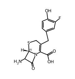 NC1C(=O)N2C(C(=O)O)=C(Cc3ccc(O)c(F)c3)CS[C@@H]12